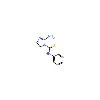 NC1=NCCN1C(=S)Nc1ccccc1